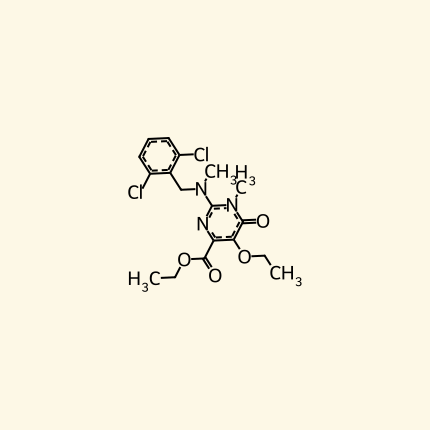 CCOC(=O)c1nc(N(C)Cc2c(Cl)cccc2Cl)n(C)c(=O)c1OCC